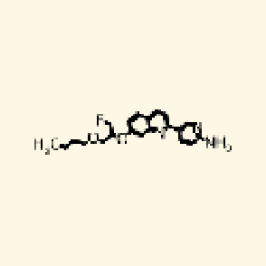 CCCCOCC(CF)Oc1ccc2ccc(-c3ccc(N)nc3)nc2c1